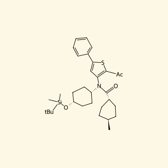 CC(=O)c1sc(-c2ccccc2)cc1N(C(=O)[C@H]1CC[C@H](C)CC1)[C@H]1CC[C@@H](O[Si](C)(C)C(C)(C)C)CC1